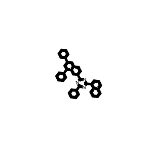 c1ccc(-c2cc(-c3ccccc3)c3cc(-c4nc(-c5ccccc5)nc(-c5cccc6ccccc56)n4)ccc3c2)cc1